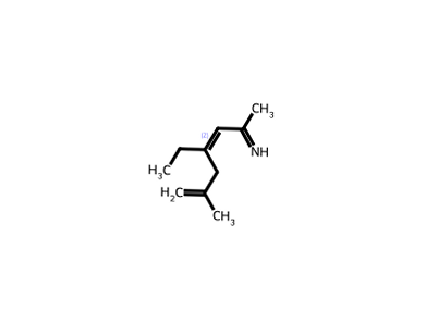 C=C(C)C/C(=C\C(C)=N)CC